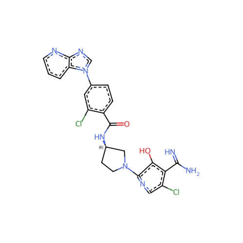 N=C(N)c1c(Cl)cnc(N2CC[C@@H](NC(=O)c3ccc(-n4cnc5ncccc54)cc3Cl)C2)c1O